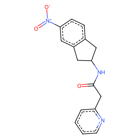 O=C(Cc1ccccn1)NC1Cc2ccc([N+](=O)[O-])cc2C1